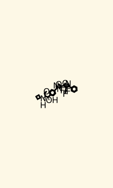 O[C@@H]1c2ccc(-c3noc(-c4onc(-c5ccccc5)c4C(F)(F)F)n3)cc2OC[C@@H]1NC1CCC1